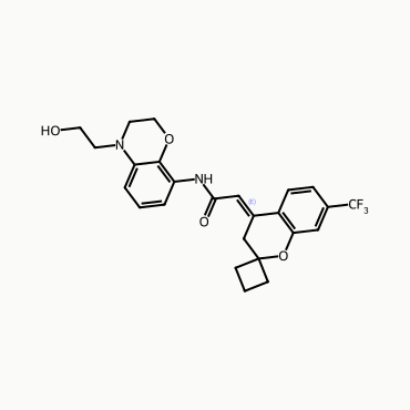 O=C(/C=C1\CC2(CCC2)Oc2cc(C(F)(F)F)ccc21)Nc1cccc2c1OCCN2CCO